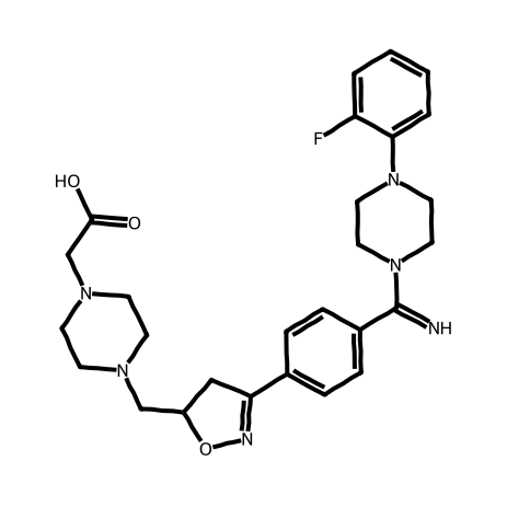 N=C(c1ccc(C2=NOC(CN3CCN(CC(=O)O)CC3)C2)cc1)N1CCN(c2ccccc2F)CC1